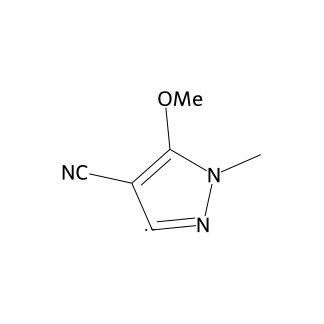 COc1c(C#N)[c]nn1C